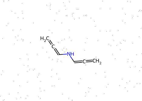 C=C=CNC=C=C